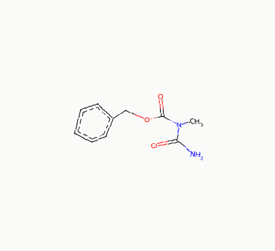 CN(C(N)=O)C(=O)OCc1ccccc1